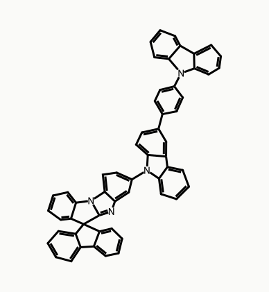 c1ccc2c(c1)-c1ccccc1C21c2ccccc2-n2c1nc1cc(-n3c4ccccc4c4cc(-c5ccc(-n6c7ccccc7c7ccccc76)cc5)ccc43)ccc12